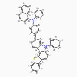 c1ccc(N(c2ccc(-c3ccc4c5c6sc7ccccc7c6ccc5n(-c5ccccc5)c4c3)cc2)c2cccc3ccccc23)cc1